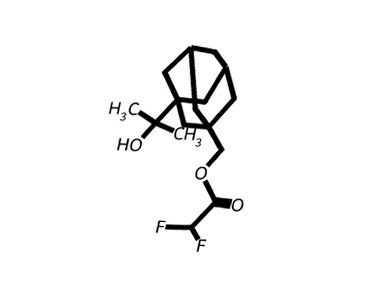 CC(C)(O)C12CC3CC(CC(COC(=O)C(F)F)(C3)C1)C2